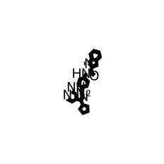 Cn1c(C(=O)Nc2ccc(-n3nc(C4CCCC4)c4ccnc(N)c43)cc2)cc2ccccc21